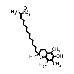 CC(=CCCCCCCCCCCC1(C)CCc2c(C)c(O)c(C)c(C)c2O1)[N+](=O)[O-]